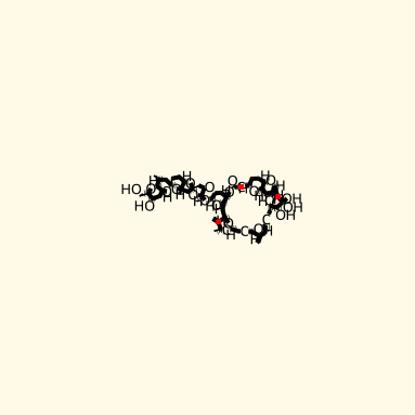 C=C1C[C@@H]2CC[C@]34OC([C@@H]5O[C@H]6CC[C@H](CC(=O)O[C@@H]7CC8OC9C[C@]%10(C[C@@H]%11O[C@@]%12(CC[C@@H]%11O%10)C[C@H](C)[C@@H]%10O[C@H](CO)[C@H](O)C[C@@H]%10O%12)O[C@@H]9O[C@@H]8O[C@H]7C[C@H]7O[C@@H](CC[C@@H]1O2)C[C@@H](C)C7=C)O[C@@H]6[C@H](O3)[C@@H]5I)C(O)(O)[C@H]4O